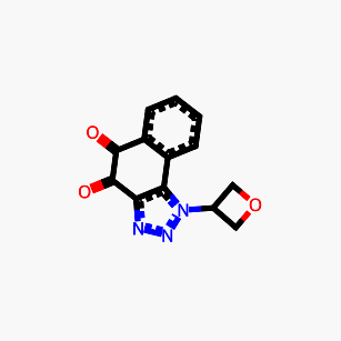 O=C1C(=O)c2nnn(C3COC3)c2-c2ccccc21